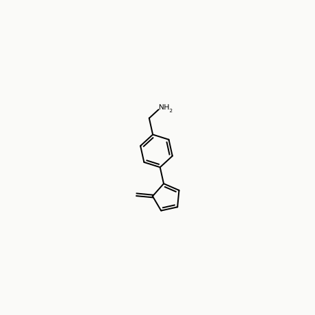 C=C1C=CC=C1c1ccc(CN)cc1